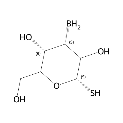 B[C@@H]1C(O)[C@H](S)OC(CO)[C@@H]1O